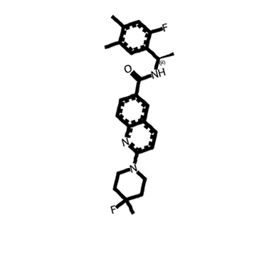 Cc1cc(F)c([C@@H](C)NC(=O)c2ccc3nc(N4CCC(C)(F)CC4)ccc3c2)cc1C